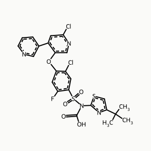 CC(C)(C)c1csc(N(C(=O)O)S(=O)(=O)c2cc(Cl)c(Oc3cnc(Cl)cc3-c3cccnc3)cc2F)n1